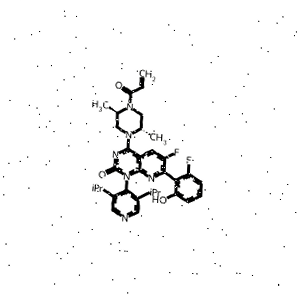 C=CC(=O)N1C[C@H](C)N(c2nc(=O)n(-c3c(C(C)C)cncc3C(C)C)c3nc(-c4c(O)cccc4F)c(F)cc23)C[C@H]1C